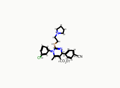 CCOC(=O)C1=C(C)N(c2cccc(Cl)c2)C(SCCN2CCCC2)=NC1c1ccc(C#N)cc1